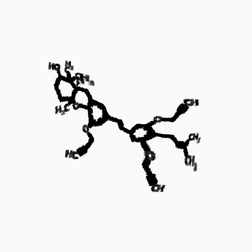 C#CCOc1cc(/C=C/c2cc3c(c(OCC#C)c2)O[C@]2(C)CC[C@@H](O)C(C)(C)[C@H]2C3)cc(OCC#C)c1CC=C(C)C